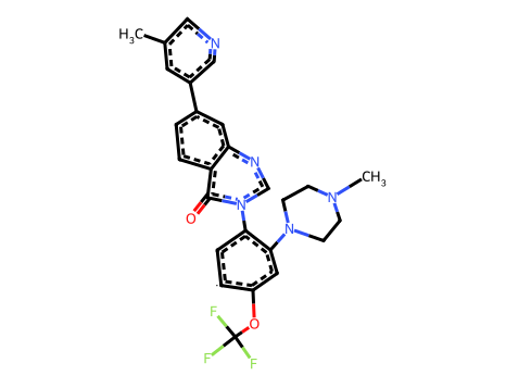 Cc1cncc(-c2ccc3c(=O)n(-c4c[c]c(OC(F)(F)F)cc4N4CCN(C)CC4)cnc3c2)c1